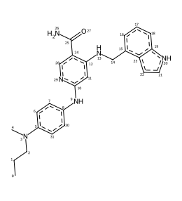 CCCN(C)c1ccc(Nc2cc(NCc3cccc4[nH]ccc34)c(C(N)=O)cn2)cc1